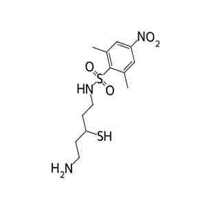 Cc1cc([N+](=O)[O-])cc(C)c1S(=O)(=O)NCCC(S)CCN